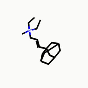 CC[N+](C)(CC)CC=CC12CC3CC(CC(C3)C1)C2